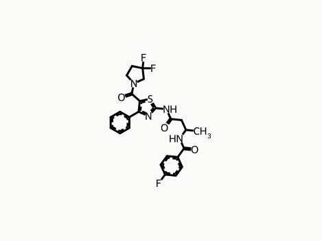 CC(CC(=O)Nc1nc(-c2ccccc2)c(C(=O)N2CCC(F)(F)C2)s1)NC(=O)c1ccc(F)cc1